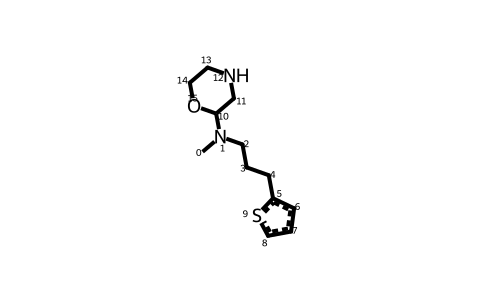 CN(CCCc1cccs1)C1CNCCO1